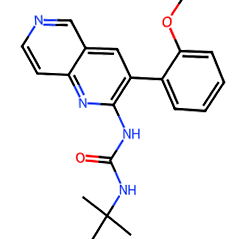 COc1ccccc1-c1cc2cnccc2nc1NC(=O)NC(C)(C)C